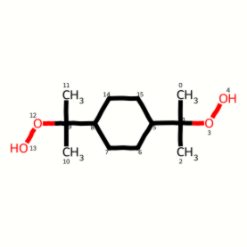 CC(C)(OO)C1CCC(C(C)(C)OO)CC1